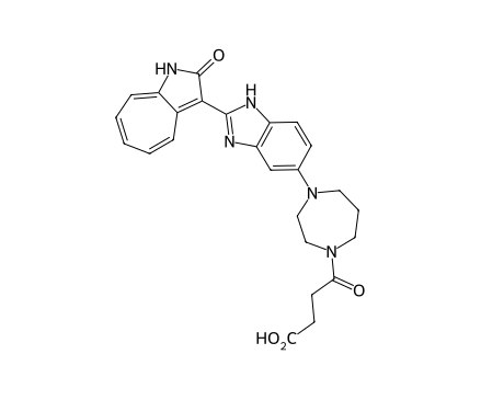 O=C(O)CCC(=O)N1CCCN(c2ccc3[nH]c(-c4c5cccccc-5[nH]c4=O)nc3c2)CC1